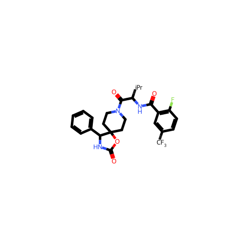 CC(C)C(NC(=O)c1cc(C(F)(F)F)ccc1F)C(=O)N1CCC2(CC1)OC(=O)NC2c1ccccc1